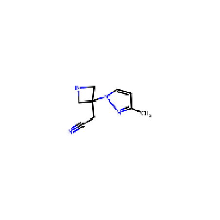 Cc1ccn(C2(CC#N)CNC2)n1